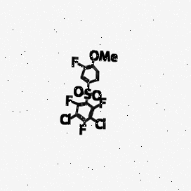 COc1ccc(S(=O)(=O)c2c(F)c(Cl)c(F)c(Cl)c2F)cc1F